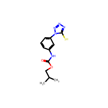 CC(C)COC(=O)Nc1cccc(-n2nnnc2S)c1